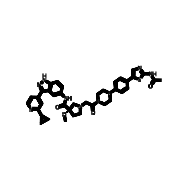 CO[C@@]1(C(=O)Nc2ccc3[nH]nc(-c4ccnc(C5CC5)c4)c3c2)CCN(CC(=O)N2CCN(c3ccc(-c4cnc(NC(C)=O)s4)cc3)CC2)C1